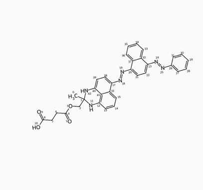 CC1(COC(=O)CCC(=O)O)Nc2cccc3c(/N=N/c4ccc(/N=N/c5ccccc5)c5ccccc45)ccc(c23)N1